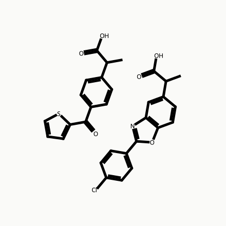 CC(C(=O)O)c1ccc(C(=O)c2cccs2)cc1.CC(C(=O)O)c1ccc2oc(-c3ccc(Cl)cc3)nc2c1